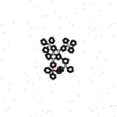 c1ccc(N(c2ccccc2)c2cccc(-c3cc4c5c(c3)N(c3ccc([Si](c6ccccc6)(c6ccccc6)c6ccccc6)cc3)c3ccc([Si](c6ccccc6)(c6ccccc6)c6ccccc6)cc3B5c3ccccc3N4c3ccc([Si](c4ccccc4)(c4ccccc4)c4ccccc4)cc3)c2)cc1